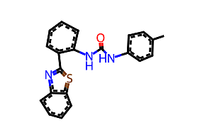 Cc1ccc(NC(=O)Nc2ccccc2-c2nc3ccccc3s2)cc1